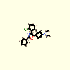 CCN(CC)c1ccc(-c2oc(-c3ccccc3)nc2-c2ccccc2Cl)cc1